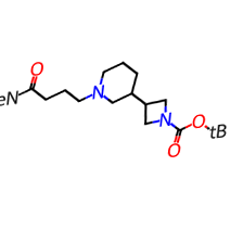 CNC(=O)CCCN1CCCC(C2CN(C(=O)OC(C)(C)C)C2)C1